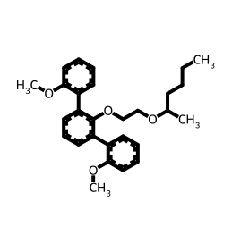 CCCCC(C)OCCOc1c(-c2ccccc2OC)cccc1-c1ccccc1OC